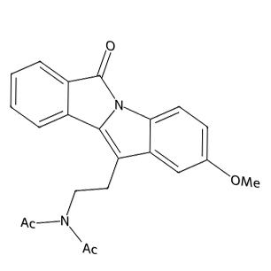 COc1ccc2c(c1)c(CCN(C(C)=O)C(C)=O)c1n2C(=O)c2ccccc2-1